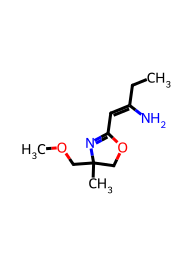 CCC(N)=CC1=NC(C)(COC)CO1